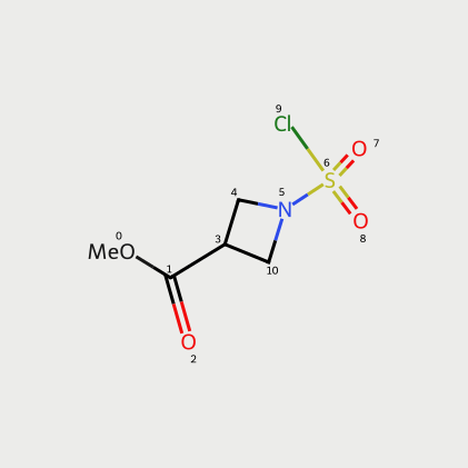 COC(=O)C1CN(S(=O)(=O)Cl)C1